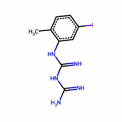 Cc1ccc(I)cc1NC(=N)NC(=N)N